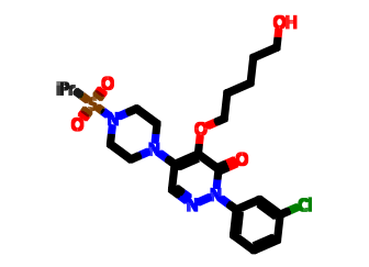 CC(C)S(=O)(=O)N1CCN(c2cnn(-c3cccc(Cl)c3)c(=O)c2OCCCCCO)CC1